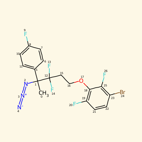 CC(N=[N+]=[N-])(c1ccc(F)cc1)C(F)(F)CCOc1c(F)ccc(Br)c1F